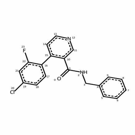 O=C(NCc1ccccc1)c1cnccc1-c1ccc(Cl)cc1F